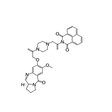 C=C(COc1cc2c(cc1OC)C(=O)N1CCC[C@H]1C=N2)N1CCN(CC(=C)N2C(=O)c3cccc4cccc(c34)C2=O)CC1